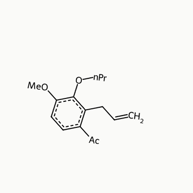 C=CCc1c(C(C)=O)ccc(OC)c1OCCC